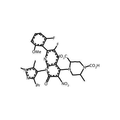 COc1cccc(F)c1-c1nc2c(cc1F)c(N1CC(C)N(C(=O)O)CC1C(=O)O)c([N+](=O)[O-])c(=O)n2-c1c(C(C)C)nn(C)c1C